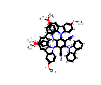 COc1ccc2c(c1)c1cc(OC)ccc1n2-c1c(C#N)c(-n2c3ccccc3c3ccccc32)c(C#N)c(-n2c3ccc(OC)cc3c3cc(OC)ccc32)c1-n1c2ccc(OC)cc2c2cc(OC)ccc21